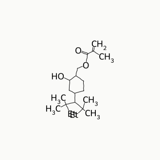 C=C(C)C(=O)OCC1CCC(C(C(C)(C)CC)C(C)(C)CC)CC1O